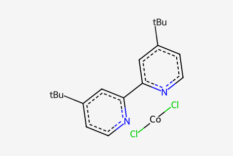 CC(C)(C)c1ccnc(-c2cc(C(C)(C)C)ccn2)c1.[Cl][Co][Cl]